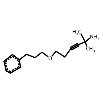 CC(C)(N)C#CCCOCCCc1ccccc1